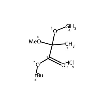 COC(C)(O[SiH3])C(=O)OC(C)(C)C.Cl